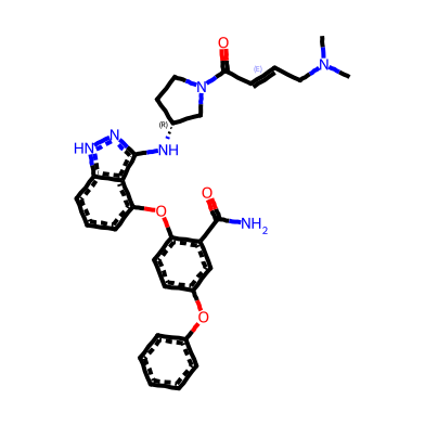 CN(C)C/C=C/C(=O)N1CC[C@@H](Nc2n[nH]c3cccc(Oc4ccc(Oc5ccccc5)cc4C(N)=O)c23)C1